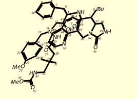 CCC(C)C(C(=O)NC(Cc1ccccc1)C(O)CN(Cc1ccc(OC)cc1)NC(=O)CC(C)(C)CNC(=O)OC)C1CNC(=O)N1Cc1cccc2cccnc12